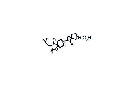 CCC1C(N2CCC3(CC2)OC(=O)N(CC2CC2)C3CC)CC12CCN(C(=O)O)C2